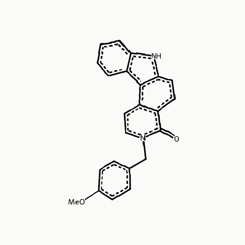 COc1ccc(Cn2ccc3c(ccc4[nH]c5ccccc5c43)c2=O)cc1